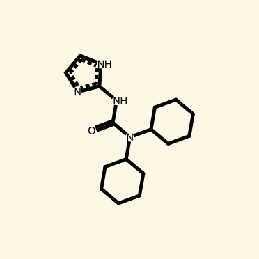 O=C(Nc1ncc[nH]1)N(C1CCCCC1)C1CCCCC1